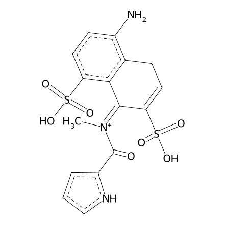 C[N+](C(=O)c1ccc[nH]1)=C1C(S(=O)(=O)O)=CCc2c(N)ccc(S(=O)(=O)O)c21